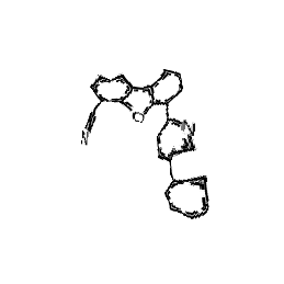 N#Cc1cccc2c1oc1c(-c3ccc(-c4ccccc4)cn3)cccc12